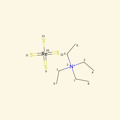 CC[N+](CC)(CC)CC.[S]=[Re](=[S])(=[S])[S-]